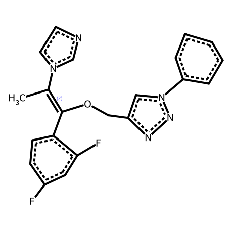 C/C(=C(/OCc1cn(-c2ccccc2)nn1)c1ccc(F)cc1F)n1ccnc1